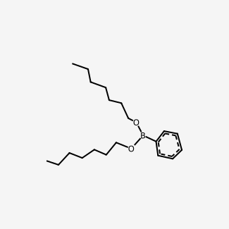 CCCCCCCOB(OCCCCCCC)c1ccccc1